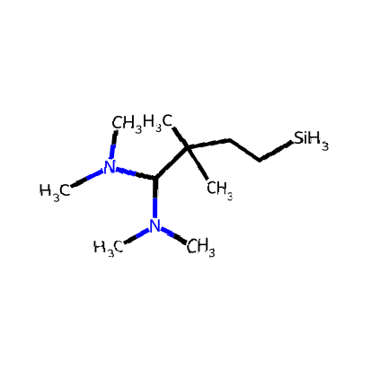 CN(C)C(N(C)C)C(C)(C)CC[SiH3]